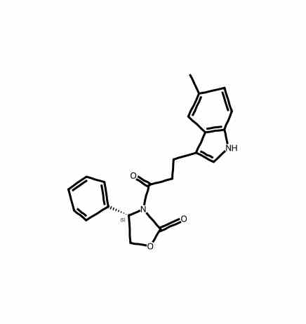 Cc1ccc2[nH]cc(CCC(=O)N3C(=O)OC[C@@H]3c3ccccc3)c2c1